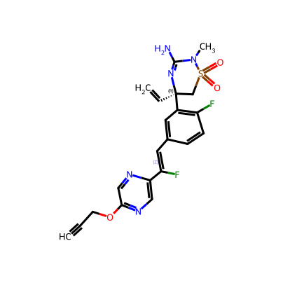 C#CCOc1cnc(/C(F)=C/c2ccc(F)c([C@]3(C=C)CS(=O)(=O)N(C)C(N)=N3)c2)cn1